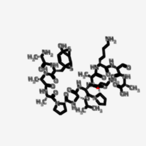 CC(C)C[C@H](NC(=O)[C@@H]1CCCN1C(=O)[C@H](C)NC(=O)[C@H](C)NC(=O)[C@H](CC12C=CC3(O)SC3C1S2)NC(=O)[C@H](C)N)C(=O)N[C@@H](CCCCN)C(=O)N1CCC[C@H]1C(=O)N[C@@H](C)C(=O)N[C@@H](CCCCN)C(=O)N[C@@H](C=O)C(=O)N[C@@H](C)C(=O)O